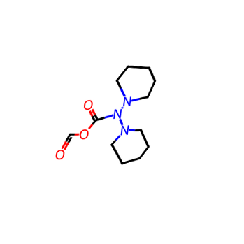 O=COC(=O)N(N1CCCCC1)N1CCCCC1